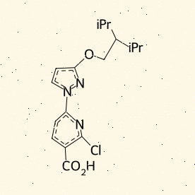 CC(C)C(COc1ccn(-c2ccc(C(=O)O)c(Cl)n2)n1)C(C)C